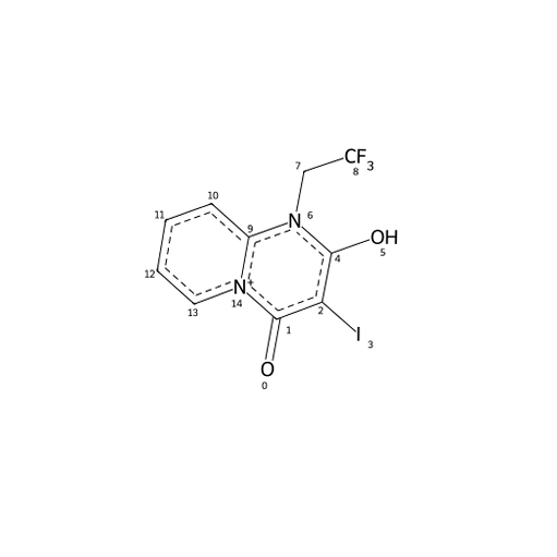 O=c1c(I)c(O)n(CC(F)(F)F)c2cccc[n+]12